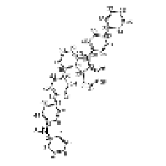 CN(c1ccccc1)c1ccc(-c2ccc(-c3cccc4c3c3ccccc3n4-c3ccc(-c4ccccc4)cc3)cc2)cc1